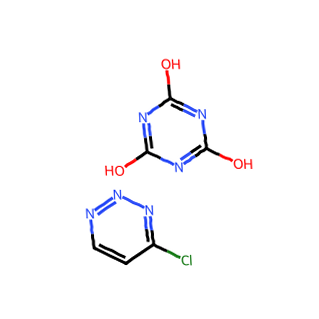 Clc1ccnnn1.Oc1nc(O)nc(O)n1